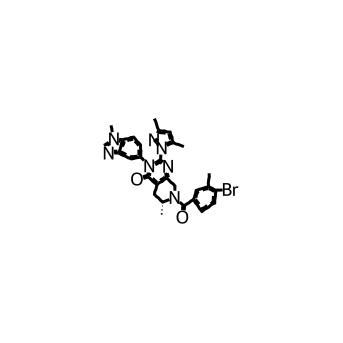 Cc1cc(C)n(-c2nc3c(c(=O)n2-c2ccc4c(c2)ncn4C)C[C@@H](C)N(C(=O)c2ccc(Br)c(C)c2)C3)n1